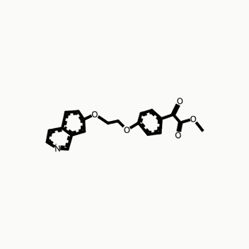 COC(=O)C(=O)c1ccc(OCCOc2ccc3ccncc3c2)cc1